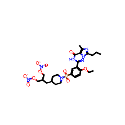 CCCc1nc(C)c2c(=O)[nH]c(-c3cc(S(=O)(=O)N4CCC(CC(CO[N+](=O)[O-])CO[N+](=O)[O-])CC4)ccc3OCC)nn12